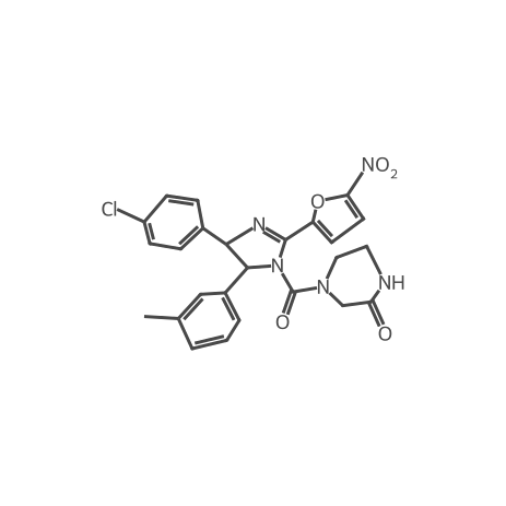 Cc1cccc(C2C(c3ccc(Cl)cc3)N=C(c3ccc([N+](=O)[O-])o3)N2C(=O)N2CCNC(=O)C2)c1